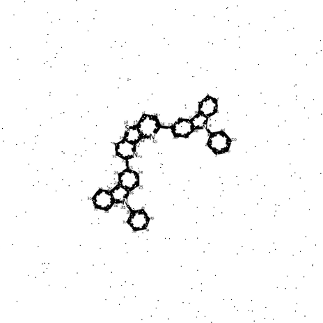 c1ccc(-n2c3ccccc3c3cc(-c4ccc5sc6ccc(-c7ccc8c(c7)c7ccccc7n8-c7ccccc7)nc6c5n4)ccc32)cc1